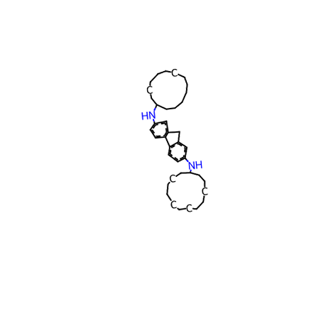 c1cc2c(cc1NC1CCCCCCCCCCCC1)Cc1cc(NC3CCCCCCCCCCCC3)ccc1-2